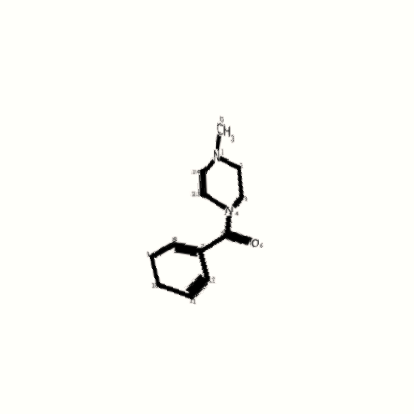 CN1CCN(C(=O)C2=CC[CH]C=C2)CC1